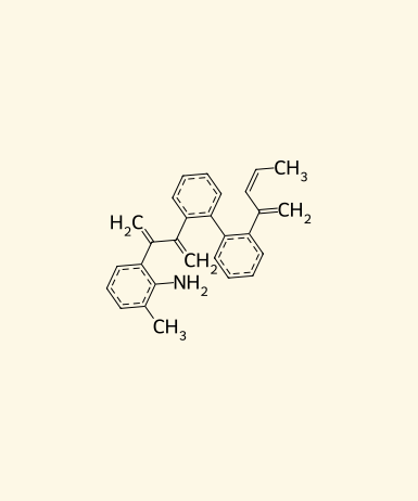 C=C(/C=C\C)c1ccccc1-c1ccccc1C(=C)C(=C)c1cccc(C)c1N